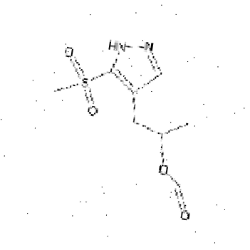 CC(Cc1cn[nH]c1S(C)(=O)=O)OC=O